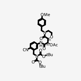 [C-]#[N+]c1ccc(NC(=O)[C@H](OC(C)=O)[C@H]2OCCN(Cc3ccc(OC)cc3)C2=O)cc1CN(C(=O)OC(C)(C)C)C(=O)OC(C)(C)C